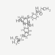 C=CC(=O)Nc1cccc(Sc2nc(Nc3ccc4c(ccn4CCN(C)C)c3)nc3[nH]ccc23)c1